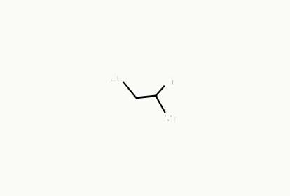 [Mn][CH]([Zn])[CH2][Zn]